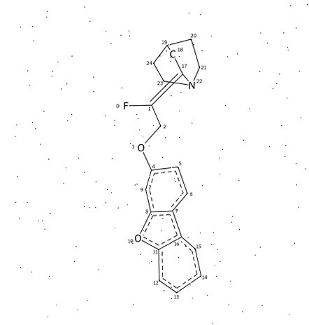 FC(COc1ccc2c(c1)oc1ccccc12)=C1CC2CCN1CC2